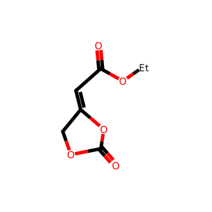 CCOC(=O)C=C1COC(=O)O1